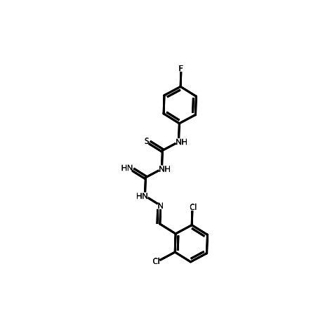 N=C(NN=Cc1c(Cl)cccc1Cl)NC(=S)Nc1ccc(F)cc1